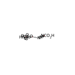 O=C1CCC(N2C(=O)c3ccc(OCCCCCCCN4CCN(c5ccc(C(=O)O)cn5)CC4)cc3C2=O)C(=O)N1